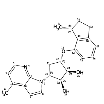 Cc1ccnc2c1ccn2[C@@H]1C[C@H](Oc2cccc3c2[C@H](C)CC3)[C@@H](O)[C@H]1O